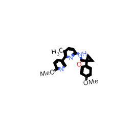 COc1ccc(C2(C(=O)Nc3ccc(C)c(-c4ccc(OC)nc4)n3)CC2)cc1